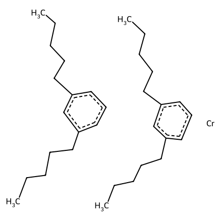 CCCCCc1cccc(CCCCC)c1.CCCCCc1cccc(CCCCC)c1.[Cr]